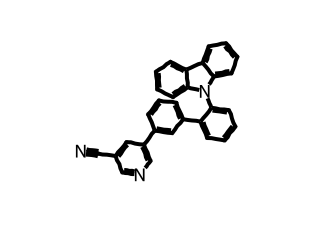 N#Cc1cncc(-c2cccc(-c3ccccc3-n3c4ccccc4c4ccccc43)c2)c1